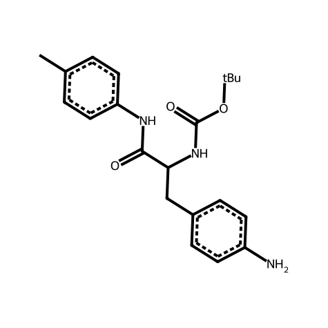 Cc1ccc(NC(=O)C(Cc2ccc(N)cc2)NC(=O)OC(C)(C)C)cc1